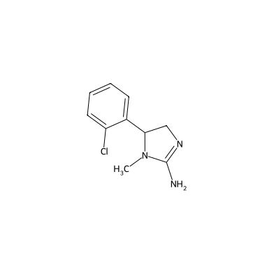 CN1C(N)=NCC1c1ccccc1Cl